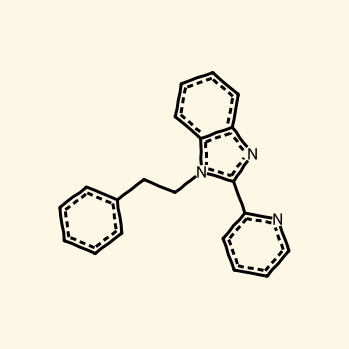 c1ccc(CCn2c(-c3ccccn3)nc3ccccc32)cc1